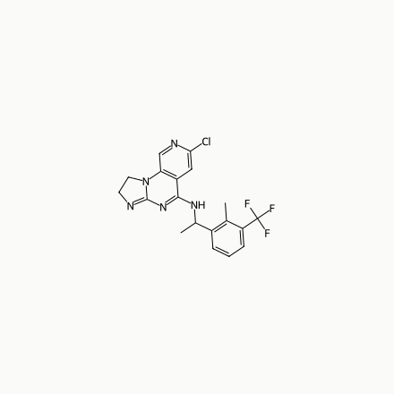 Cc1c(C(C)NC2=NC3=NCCN3c3cnc(Cl)cc32)cccc1C(F)(F)F